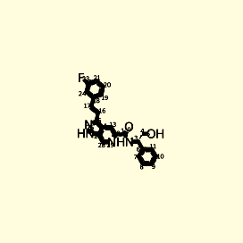 O=C(N[C@H](CO)c1ccccc1)c1cc2c(/C=C/c3cccc(F)c3)n[nH]c2cn1